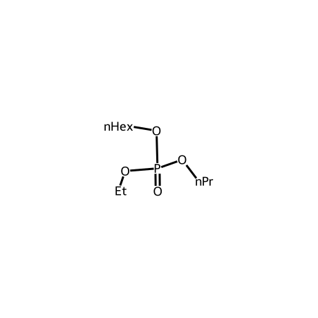 CCCCCCOP(=O)(OCC)OCCC